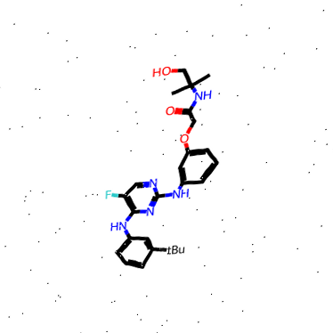 CC(C)(CO)NC(=O)COc1cccc(Nc2ncc(F)c(Nc3cccc(C(C)(C)C)c3)n2)c1